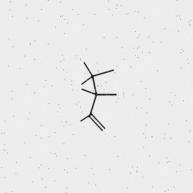 CCCC1(CC)OC1(C)C(=O)OC